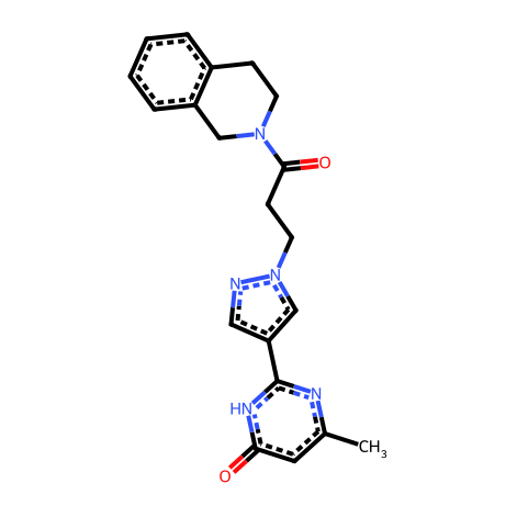 Cc1cc(=O)[nH]c(-c2cnn(CCC(=O)N3CCc4ccccc4C3)c2)n1